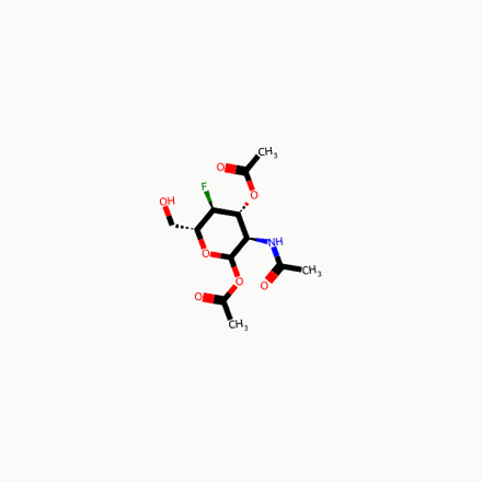 CC(=O)N[C@H]1C(OC(C)=O)O[C@H](CO)[C@@H](F)[C@@H]1OC(C)=O